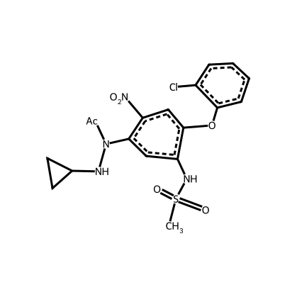 CC(=O)N(NC1CC1)c1cc(NS(C)(=O)=O)c(Oc2ccccc2Cl)cc1[N+](=O)[O-]